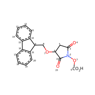 O=C(O)ON1C(=O)CC(OCC2c3ccccc3-c3ccccc32)C1=O